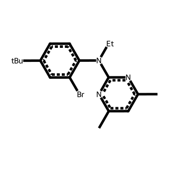 CCN(c1nc(C)cc(C)n1)c1ccc(C(C)(C)C)cc1Br